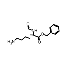 NCCCC[C@H](NC=O)C(=O)OCc1ccccc1